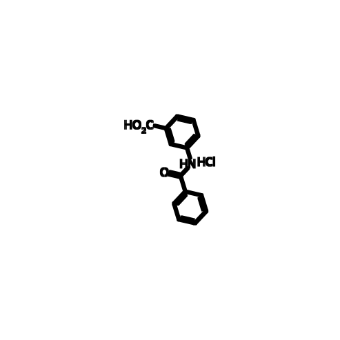 Cl.O=C(O)c1cccc(NC(=O)c2ccccc2)c1